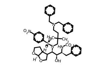 CC(C)(CCN(Cc1ccccc1)Cc1ccccc1)CN([C@H](C1CO[C@H]2OCC[C@@H]12)[C@H](O)[C@H](Cc1ccccc1)NC(=O)O)S(=O)(=O)c1ccc([N+](=O)[O-])cc1